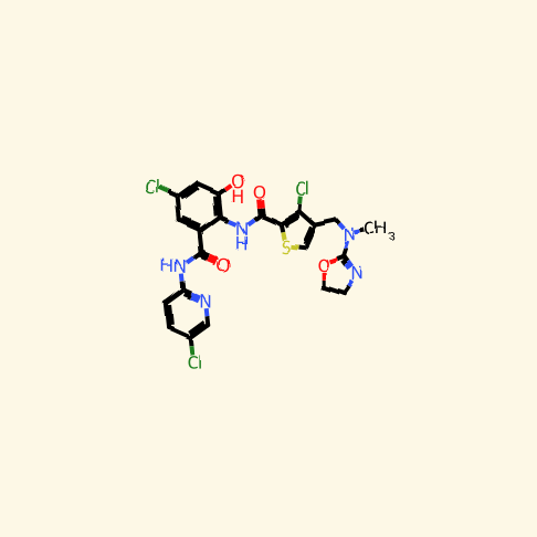 CN(Cc1csc(C(=O)Nc2c(O)cc(Cl)cc2C(=O)Nc2ccc(Cl)cn2)c1Cl)C1=NCCO1